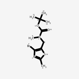 Cc1nc(Br)c(CN(C)C(=O)OC(C)(C)C)s1